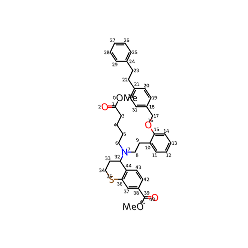 COC(=O)CCCCN(CCc1ccccc1OCc1ccc(CCc2ccccc2)cc1)C1CCSc2cc(C(=O)OC)ccc21